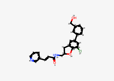 O=C(C=Cc1cccnc1)NCC1Cc2cc(-c3cccc(CO)c3)cc(Cl)c2O1